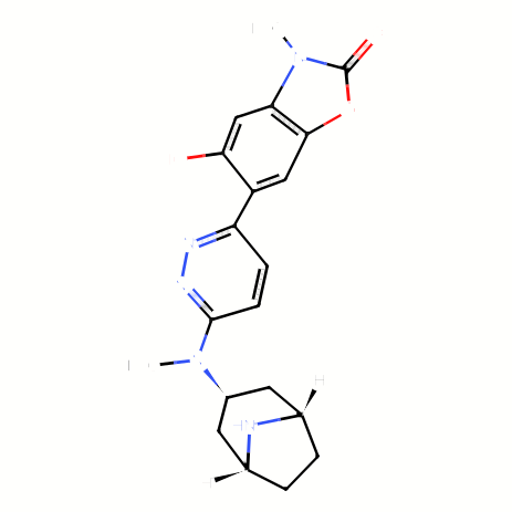 CN(c1ccc(-c2cc3oc(=O)n(C)c3cc2O)nn1)[C@@H]1C[C@H]2CC[C@@H](C1)N2